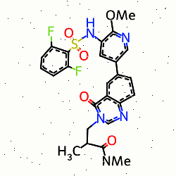 CNC(=O)C(C)Cn1cnc2ccc(-c3cnc(OC)c(NS(=O)(=O)c4c(F)cccc4F)c3)cc2c1=O